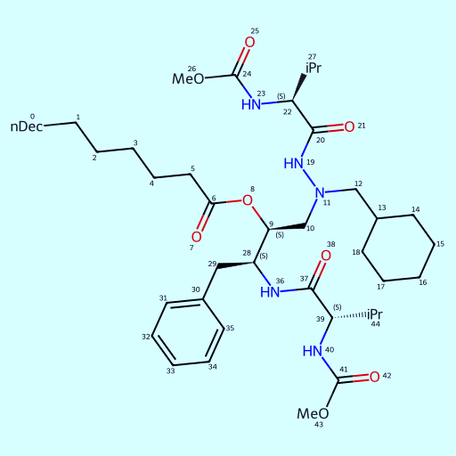 CCCCCCCCCCCCCCCC(=O)O[C@@H](CN(CC1CCCCC1)NC(=O)[C@@H](NC(=O)OC)C(C)C)[C@H](Cc1ccccc1)NC(=O)[C@@H](NC(=O)OC)C(C)C